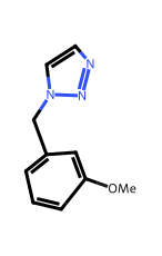 COc1cccc(Cn2ccnn2)c1